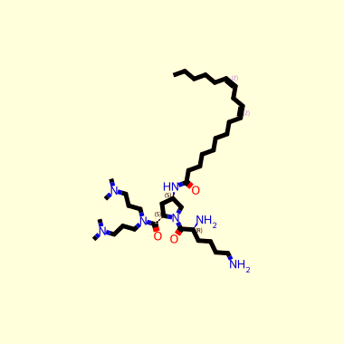 CCCCC/C=C\C/C=C\CCCCCCCC(=O)N[C@H]1C[C@@H](C(=O)N(CCCN(C)C)CCCN(C)C)N(C(=O)[C@H](N)CCCCN)C1